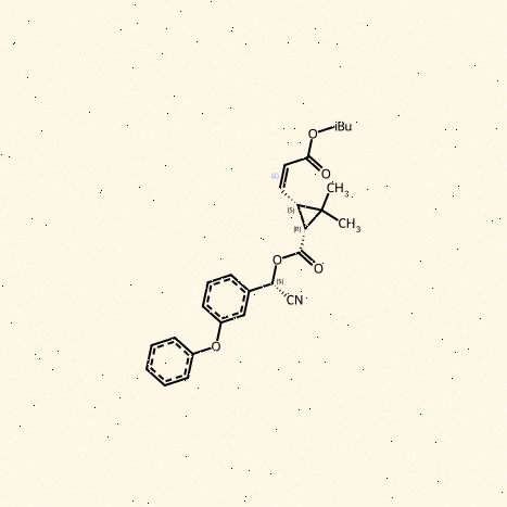 CCC(C)OC(=O)/C=C\[C@H]1[C@@H](C(=O)O[C@H](C#N)c2cccc(Oc3ccccc3)c2)C1(C)C